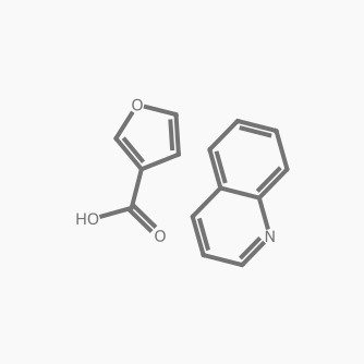 O=C(O)c1ccoc1.c1ccc2ncccc2c1